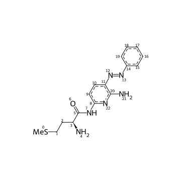 CSCC[C@H](N)C(=O)Nc1ccc(/N=N/c2ccccc2)c(N)n1